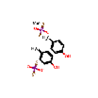 Cc1ccc(O)cc1.Cc1ccc(O)cc1.[Mo+6].[O-]P([O-])(=S)[S-].[O-]P([O-])(=S)[S-]